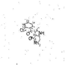 Cc1[nH]c(C)c(C(=O)c2ccccc2Cl)c1C(N)=O